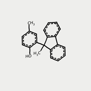 Cc1ccc(O)c(C2(C)c3ccccc3-c3ccccc32)c1